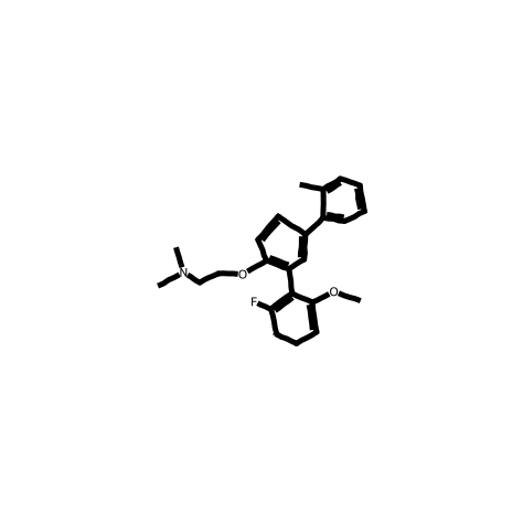 COC1=CC[CH]C(F)=C1c1cc(-c2ccccc2C)ccc1OCCN(C)C